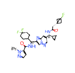 CC(C)n1nccc1C(=O)N[C@H](c1cn2ncc([C@H](NC(=O)C[C@]34C[C@@](F)(C3)C4)C3CC3)cc2n1)C1CCC(F)(F)CC1